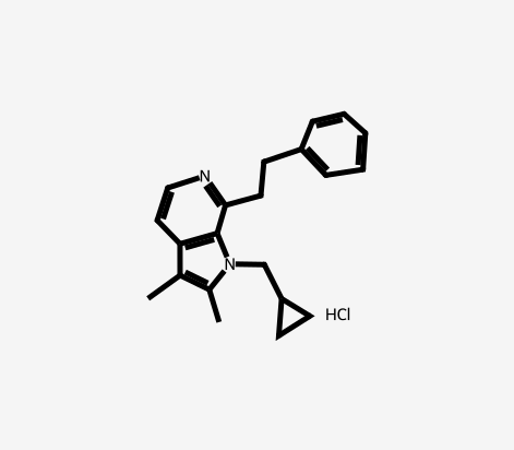 Cc1c(C)n(CC2CC2)c2c(CCc3ccccc3)nccc12.Cl